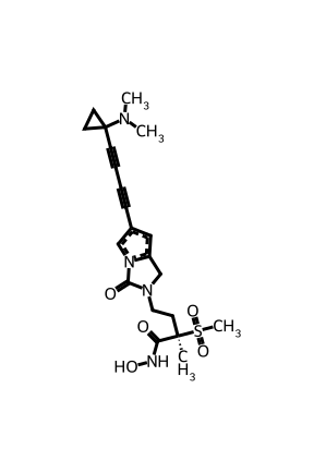 CN(C)C1(C#CC#Cc2cc3n(c2)C(=O)N(CC[C@](C)(C(=O)NO)S(C)(=O)=O)C3)CC1